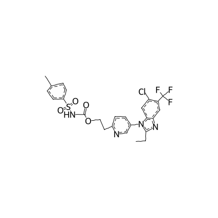 CCc1nc2cc(C(F)(F)F)c(Cl)cc2n1-c1ccc(CCOC(=O)NS(=O)(=O)c2ccc(C)cc2)nc1